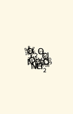 Nc1ncc(-c2ccccc2)cc1OCc1c(Cl)cccc1Cl.O